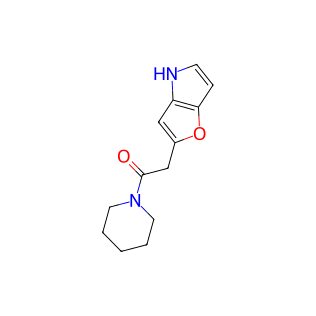 O=C(Cc1cc2[nH]ccc2o1)N1CCCCC1